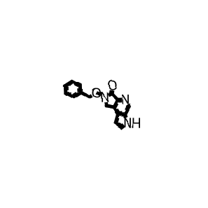 O=C1c2ncc3[nH]ccc3c2CN1OCc1ccccc1